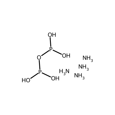 N.N.N.N.OP(O)OP(O)O